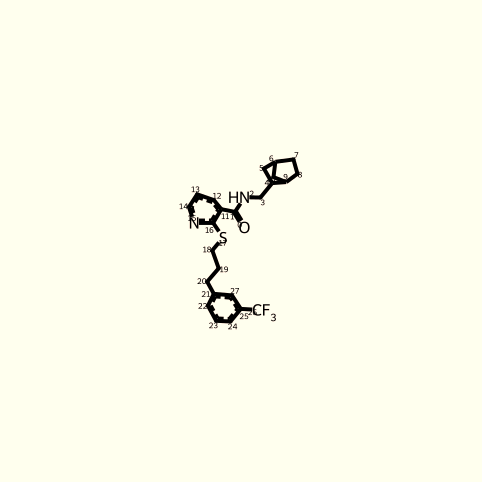 O=C(NCC1CC2CCC1C2)c1cccnc1SCCCc1cccc(C(F)(F)F)c1